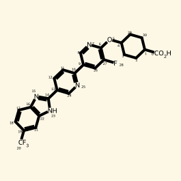 O=C(O)C1CCC(Oc2ncc(-c3ccc(-c4nc5ccc(C(F)(F)F)cc5[nH]4)cn3)cc2F)CC1